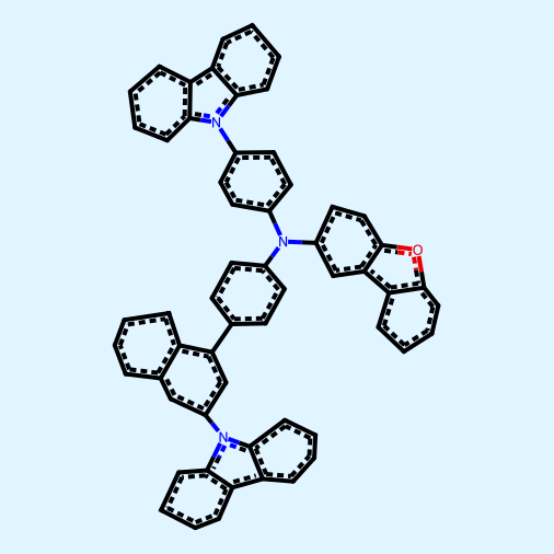 c1ccc2c(-c3ccc(N(c4ccc(-n5c6ccccc6c6ccccc65)cc4)c4ccc5oc6ccccc6c5c4)cc3)cc(-n3c4ccccc4c4ccccc43)cc2c1